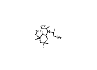 CC(C)CC(C)N(C(C)CC(C)C)C1CC(C)(C)CC(C)(CN)C1